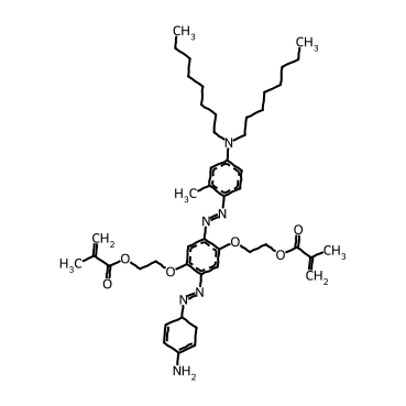 C=C(C)C(=O)OCCOc1cc(/N=N/C2C=CC(N)=CC2)c(OCCOC(=O)C(=C)C)cc1/N=N/c1ccc(N(CCCCCCCC)CCCCCCCC)cc1C